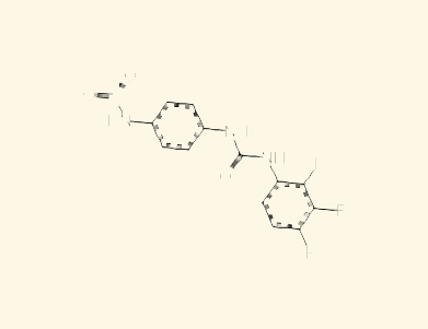 O=C(Nc1ccc(N[SH](=O)=O)cc1)Nc1ccc(F)c(F)c1F